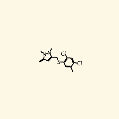 C=C1C=C(CSc2cc(C)c(Cl)cc2Cl)N(C)N1C